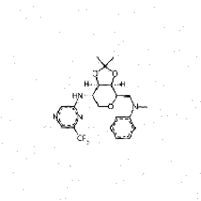 CN(C[C@H]1OC[C@H](Nc2cncc(C(F)(F)F)n2)[C@H]2OC(C)(C)O[C@H]21)c1ccccc1